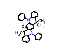 CC1(C)c2ccccc2N(c2ccccc2)c2cc3c(cc21)N(c1ccccc1)c1ccccc1C3(C)C